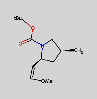 CO/C=C\[C@@H]1C[C@H](C)CN1C(=O)OC(C)(C)C